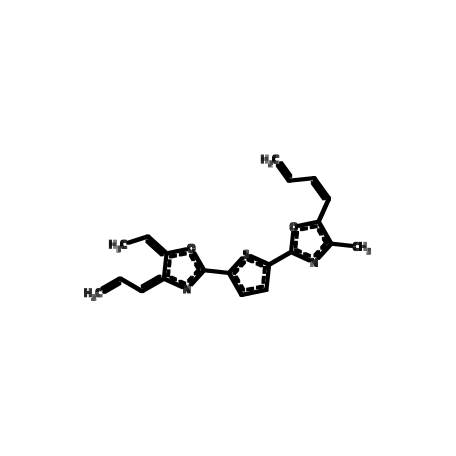 C=C/C=C\c1oc(-c2ccc(-c3nc(=C/C=C)/c(=C\C)o3)s2)nc1C